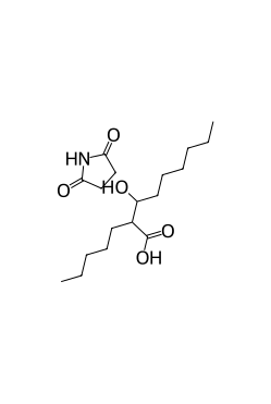 CCCCCCC(O)C(CCCCC)C(=O)O.O=C1CCC(=O)N1